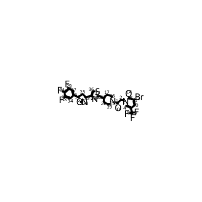 O=C(Cn1cc(C(F)(F)F)cc(Br)c1=O)N1CCC(c2nc(C3=NOC(c4cc(F)c(F)c(F)c4)C3)cs2)CC1